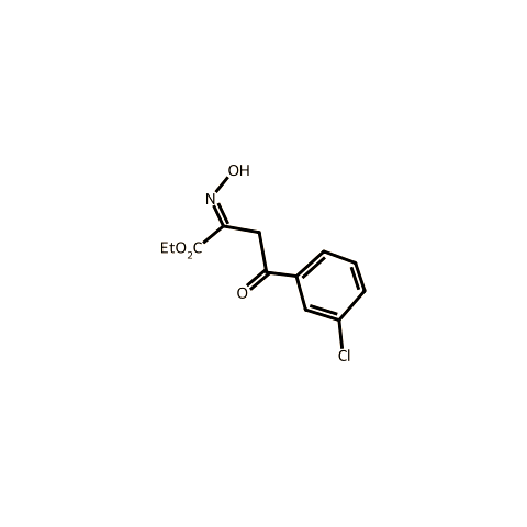 CCOC(=O)/C(CC(=O)c1cccc(Cl)c1)=N/O